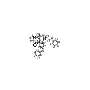 O=C1C2CCCN2C(=O)C2(CCN(CCCc3ccccc3)CC2)N1C1CCN(Cc2ccccc2)C1